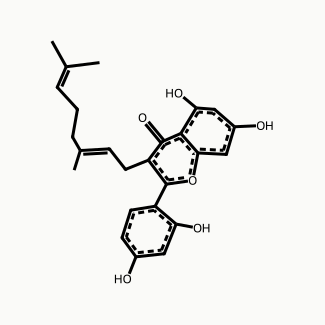 CC(C)=CCC/C(C)=C/Cc1c(-c2ccc(O)cc2O)oc2cc(O)cc(O)c2c1=O